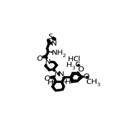 COc1ccc(C2=NN(C3CCN(C(=O)[C@H](N)Cc4cscn4)CC3)C(=O)[C@@H]3CCCC[C@H]23)cc1OC.Cl